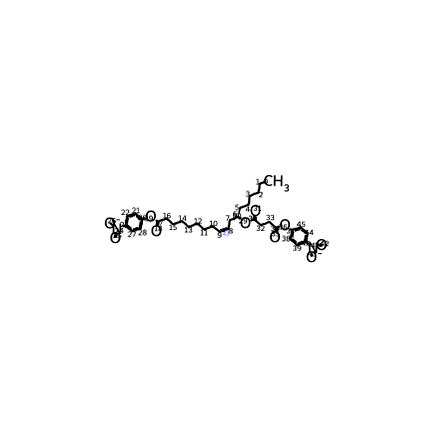 CCCCCC[C@H](C/C=C\CCCCCCCC(=O)Oc1ccc([N+](=O)[O-])cc1)OC(=O)CCC(=O)Oc1ccc([N+](=O)[O-])cc1